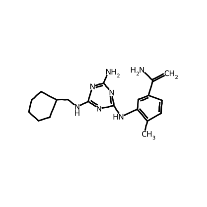 C=C(N)c1ccc(C)c(Nc2nc(N)nc(NCC3CCCCC3)n2)c1